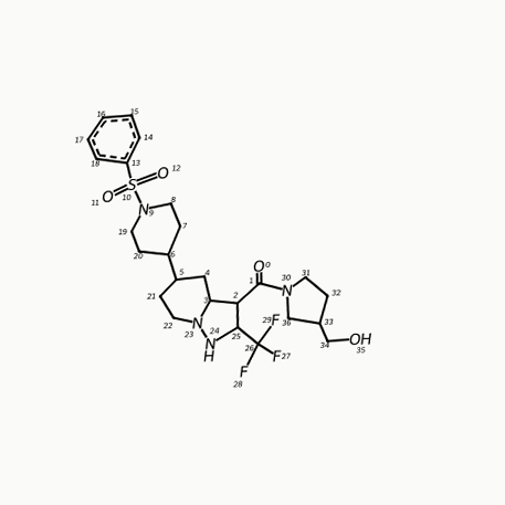 O=C(C1C2CC(C3CCN(S(=O)(=O)c4ccccc4)CC3)CCN2NC1C(F)(F)F)N1CCC(CO)C1